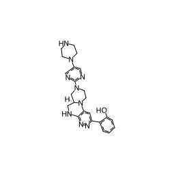 Oc1ccccc1-c1cc2c(nn1)NC[C@H]1CN(c3ncc(N4CCNCC4)cn3)CCN21